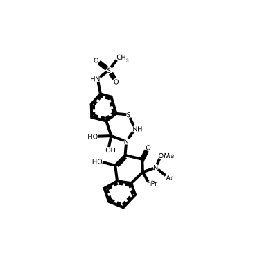 CCCC1(N(OC)C(C)=O)C(=O)C(N2NSc3cc(NS(C)(=O)=O)ccc3C2(O)O)=C(O)c2ccccc21